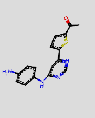 CC(=O)c1ccc(-c2cc(Nc3ccc(N)cc3)ncn2)s1